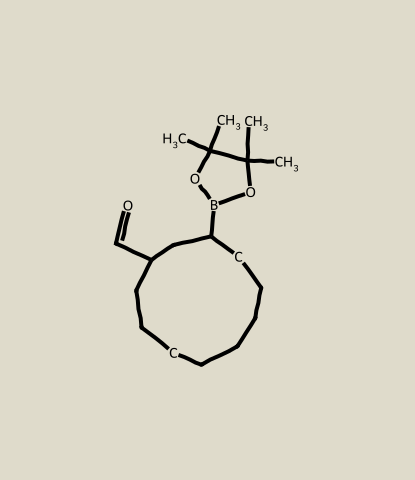 CC1(C)OB(C2CCCCCCCCC(C=O)C2)OC1(C)C